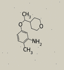 Cc1ccc(OC(C)C2CCOCC2)cc1N